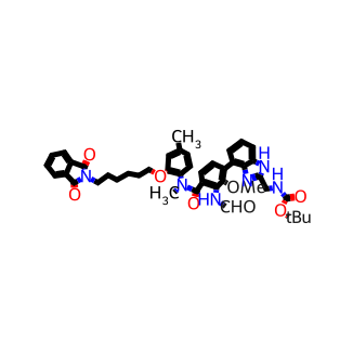 COc1c(-c2cccc3[nH]c(CNC(=O)OC(C)(C)C)nc23)ccc(C(=O)N(C)c2ccc(C)cc2OCCCCCCN2C(=O)c3ccccc3C2=O)c1NC=O